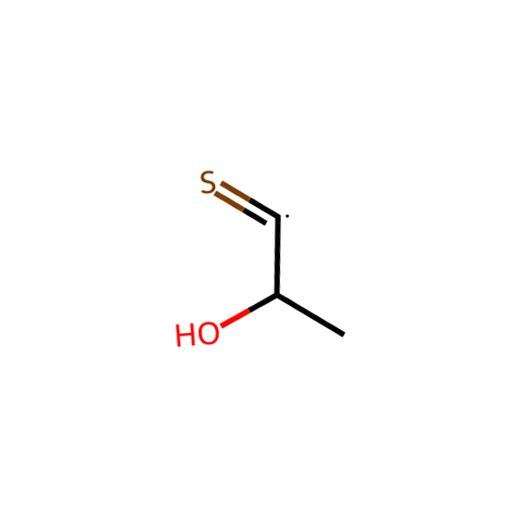 CC(O)[C]=S